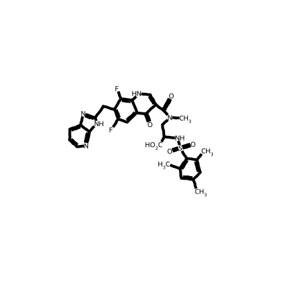 Cc1cc(C)c(S(=O)(=O)NC(CN(C)C(=O)c2c[nH]c3c(F)c(Cc4nc5cccnc5[nH]4)c(F)cc3c2=O)C(=O)O)c(C)c1